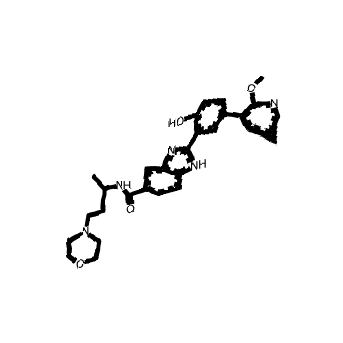 COc1ncccc1-c1ccc(O)c(-c2nc3cc(C(=O)NC(C)CCN4CCOCC4)ccc3[nH]2)c1